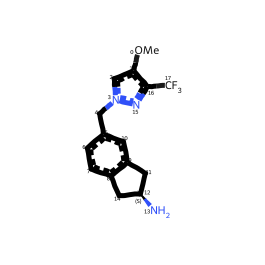 COc1cn(Cc2ccc3c(c2)C[C@@H](N)C3)nc1C(F)(F)F